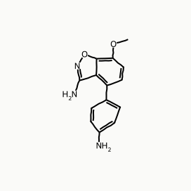 COc1ccc(-c2ccc(N)cc2)c2c(N)noc12